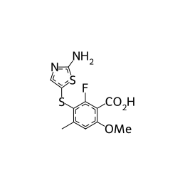 COc1cc(C)c(Sc2cnc(N)s2)c(F)c1C(=O)O